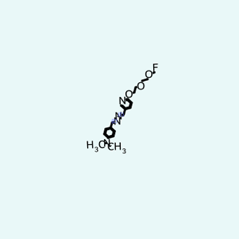 CN(C)c1ccc(/C=N/N=C/c2ccc(OCCOCCOCF)nc2)cc1